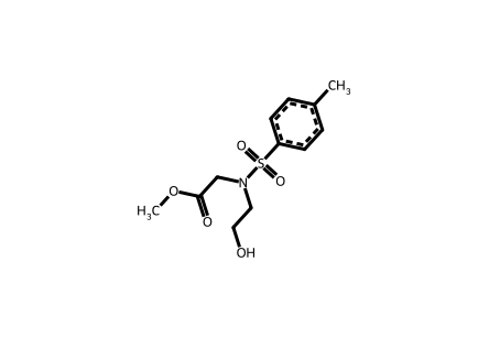 COC(=O)CN(CCO)S(=O)(=O)c1ccc(C)cc1